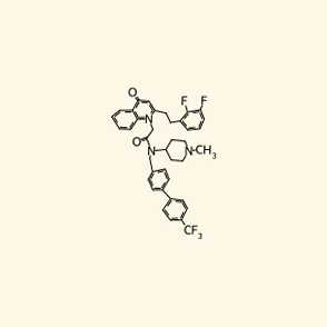 CN1CCC(N(Cc2ccc(-c3ccc(C(F)(F)F)cc3)cc2)C(=O)Cn2c(CCc3cccc(F)c3F)cc(=O)c3ccccc32)CC1